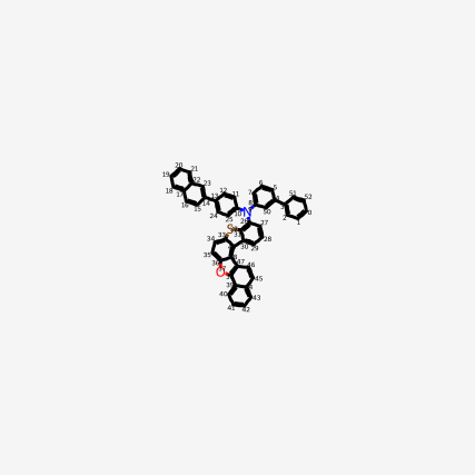 c1ccc(-c2cccc(N(c3ccc(-c4ccc5ccccc5c4)cc3)c3cccc4c3sc3ccc5oc6c7ccccc7ccc6c5c34)c2)cc1